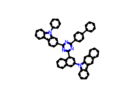 c1ccc(-c2ccc(-c3nc(-c4ccc5c6ccccc6n(-c6ccccc6)c5c4)nc(-c4cc(-n5c6ccccc6c6cc7ccccc7cc65)cc5ccccc45)n3)cc2)cc1